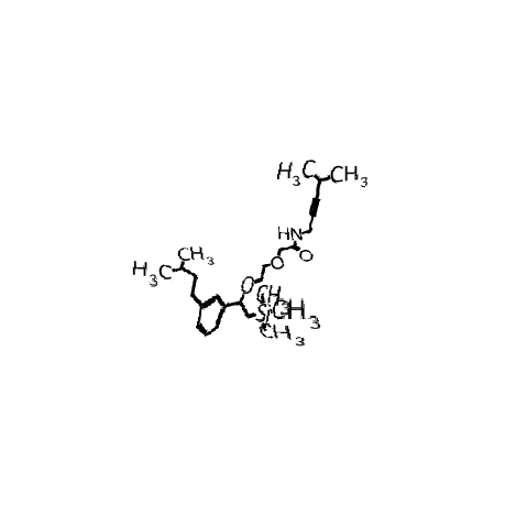 CC(C)C#CCNC(=O)COCCOC(C[Si](C)(C)C)c1cccc(CCC(C)C)c1